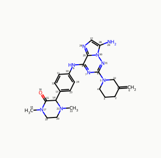 C=C1CCCN(c2nc(Nc3ccc(C4C(=O)N(C)CCN4C)cc3)c3ncc(N)n3n2)C1